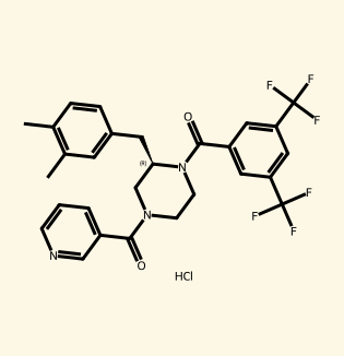 Cc1ccc(C[C@@H]2CN(C(=O)c3cccnc3)CCN2C(=O)c2cc(C(F)(F)F)cc(C(F)(F)F)c2)cc1C.Cl